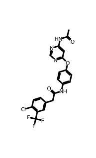 CC(=O)Nc1cc(Oc2ccc(NC(=O)Cc3ccc(Cl)c(C(F)(F)F)c3)cc2)ncn1